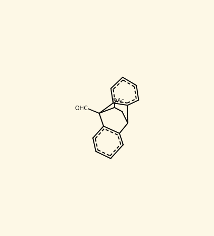 CC(=O)OC1CC2c3ccccc3C1(C=O)c1ccccc12